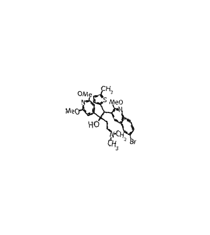 COc1cc(C(O)(CCN(C)C)C(c2ccc(C)s2)c2cc3cc(Br)ccc3nc2OC)cc(OC)n1